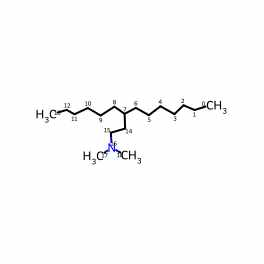 CCCCCCCC(CCCCCC)CCN(C)C